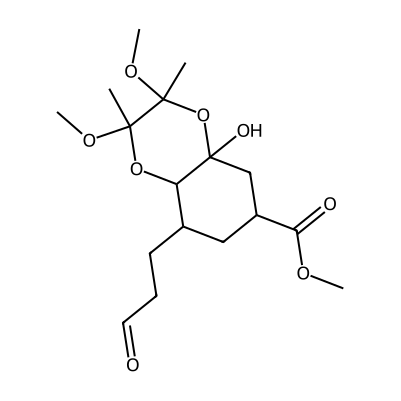 COC(=O)C1CC(CCC=O)C2OC(C)(OC)C(C)(OC)OC2(O)C1